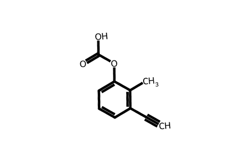 C#Cc1cccc(OC(=O)O)c1C